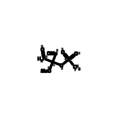 COC(OC)(OS(=O)(=O)C(F)(F)F)[PH2]=O